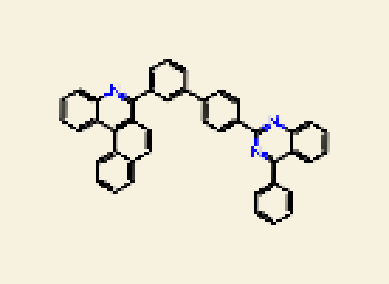 c1ccc(-c2nc(-c3ccc(-c4cccc(-c5nc6ccccc6c6c5ccc5ccccc56)c4)cc3)nc3ccccc23)cc1